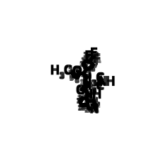 CNC.Cc1ccc(C(=CC=CC(=O)Nc2cccc3cnccc23)c2ccc(C(F)(F)F)cc2)o1